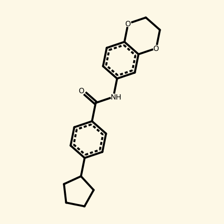 O=C(Nc1ccc2c(c1)OCCO2)c1ccc(C2CCCC2)cc1